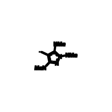 [CH2]c1c(NC)nn(NC)c1NC